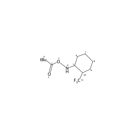 CC(C)(C)C(=O)ONC1CCCCC1C(F)(F)F